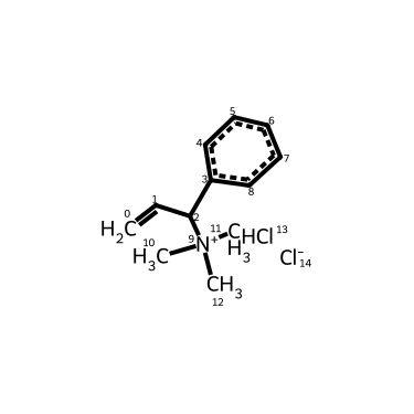 C=CC(c1ccccc1)[N+](C)(C)C.Cl.[Cl-]